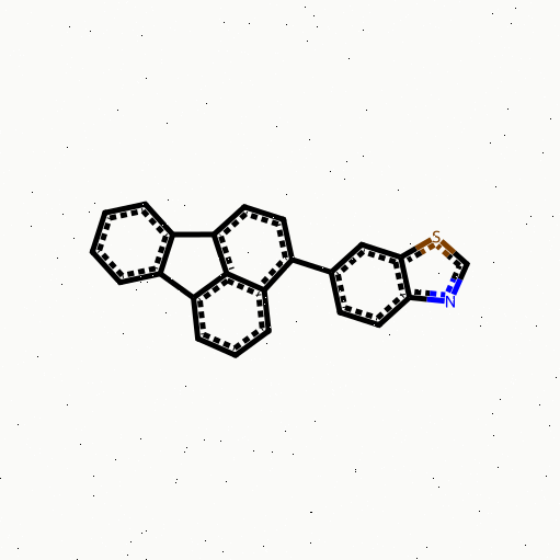 c1ccc2c(c1)-c1cccc3c(-c4ccc5ncsc5c4)ccc-2c13